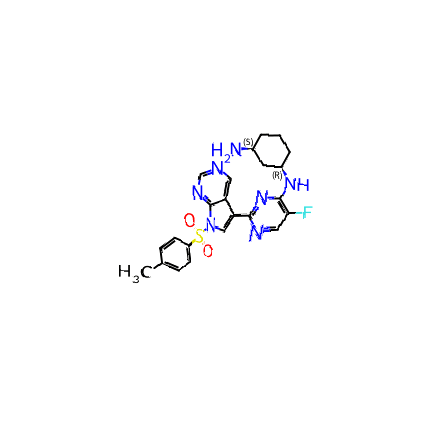 Cc1ccc(S(=O)(=O)n2cc(-c3ncc(F)c(N[C@@H]4CCC[C@H](N)C4)n3)c3cncnc32)cc1